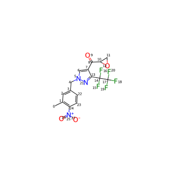 Cc1cc(Cn2cc(C(=O)C3CO3)c(C(F)(F)C(F)(F)F)n2)ccc1[N+](=O)[O-]